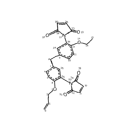 C=CCOc1ccc(Cc2ccc(OCC)c(N3C(=O)C=CC3=O)c2)cc1N1C(=O)C=CC1=O